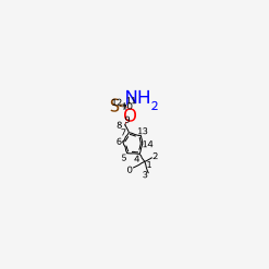 CC(C)(C)c1ccc(COC(N)=S)cc1